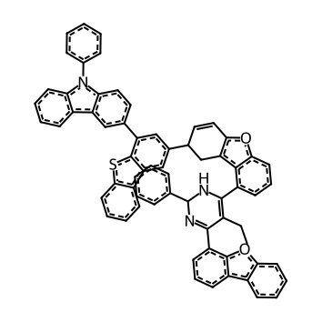 CCC1=C(c2cccc3oc4c(c23)CC(c2cc(-c3ccc5c(c3)c3ccccc3n5-c3ccccc3)c3sc5ccccc5c3c2)C=C4)NC(c2ccccc2)N=C1c1cccc2c1oc1ccccc12